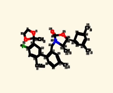 COc1cc(F)c(C2(C)OCCO2)cc1-c1ccc(C(F)(F)F)cc1CN1C(=O)O[C@H](c2cc(C(F)(F)F)cc(C(F)(F)F)c2)[C@@H]1C